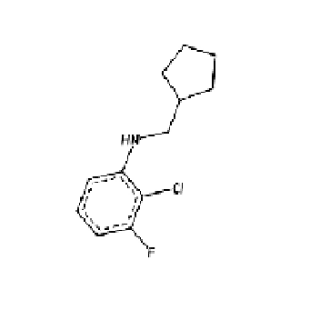 Fc1cccc(NCC2CCCC2)c1Cl